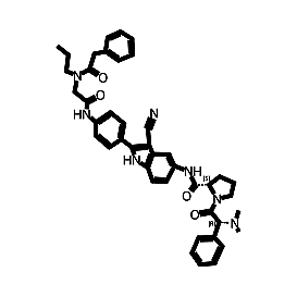 CCCN(CC(=O)Nc1ccc(-c2[nH]c3ccc(NC(=O)[C@@H]4CCCN4C(=O)[C@@H](c4ccccc4)N(C)C)cc3c2C#N)cc1)C(=O)Cc1ccccc1